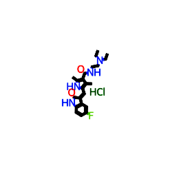 CCN(CC)CCNC(=O)c1c(C)[nH]c(C=C2C(=O)Nc3ccc(F)cc32)c1C.Cl